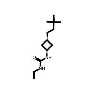 CCNC(=O)N[C@H]1C[C@@H](CCC(C)(C)C)C1